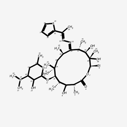 CC[C@H]1OC(=O)[C@H](C)C(O)[C@H](C)[C@@H](OC2OC(C)CC(N(C)C)C2O)[C@](C)(OC)C[C@@H](C)/C(=N\N=C(/C)c2cccs2)[C@H](C)[C@@H](O)[C@]1(C)O